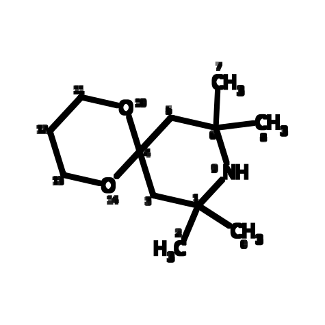 CC1(C)CC2(CC(C)(C)N1)OCCCO2